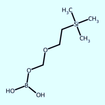 C[Si](C)(C)CCOCOB(O)O